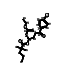 CCCC(C)(C)C(=O)OC(CCC(=O)c1ccc(Cl)cc1)SC(=S)OCC